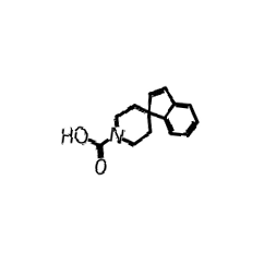 O=C(O)N1CCC2(C=Cc3ccccc32)CC1